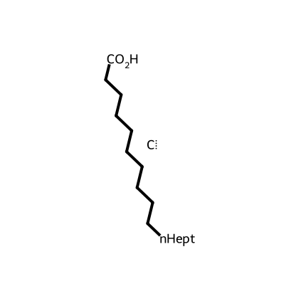 CCCCCCCCCCCCCCCCC(=O)O.[C]